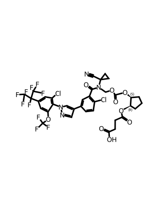 N#CC1(N(COC(=O)O[C@H]2CCC[C@H]2OC(=O)CCC(=O)O)C(=O)c2cc(-c3cnn(-c4c(Cl)cc(C(F)(C(F)(F)F)C(F)(F)F)cc4OC(F)(F)F)c3)ccc2Cl)CC1